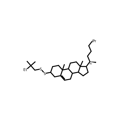 CCC(C)(C)CSSC1CCC2(C)C(=CCC3C2CCC2(C)C3CCC2[C@H](C)CCCC(C)C)C1